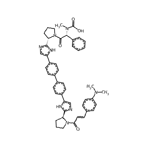 CN(C)c1ccc(/C=C/C(=O)N2CCC[C@H]2c2ncc(-c3ccc(-c4ccc(-c5cnc([C@@H]6CCCN6C(=O)[C@@H](c6ccccc6)N(C)C(=O)O)[nH]5)cc4)cc3)[nH]2)cc1